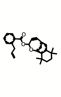 C=CCc1ccccc1C(=O)OC1C#Cc2cc(c3c(c2)C(C)(C)CCC3(C)C)O1